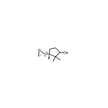 CC1(C)C(C#N)CC[C@@]1(C)[C@@H]1CO1